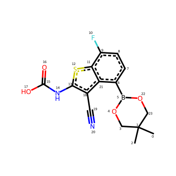 CC1(C)COB(c2ccc(F)c3sc(NC(=O)O)c(C#N)c23)OC1